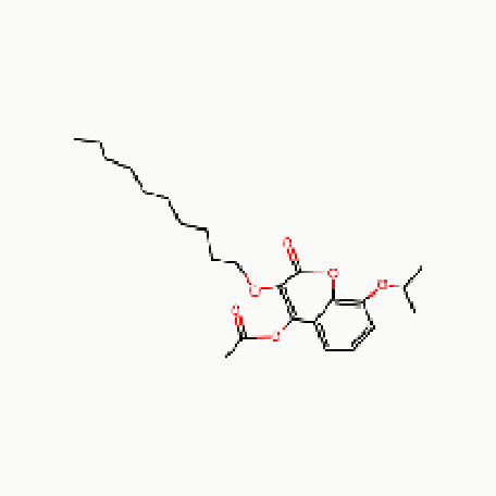 CCCCCCCCCCOc1c(OC(C)=O)c2cccc(OC(C)C)c2oc1=O